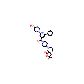 CC1(C)CC2(CCCN(C3CCN(C(=O)c4cc(-c5ccccc5)nc(N5CCC(O)CC5)c4)CC3)C2)C(=O)O1